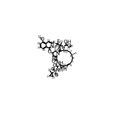 CC[C@@H]1C[C@@H](C)CCC=C[C@@H]2C[C@@]2(C(=O)NS(=O)(=O)C2(C)CC2)NC(=O)[C@@H]2C[C@@H](Oc3nccc4c(OC)cccc34)CN2C(=O)[C@H]1N(C(=O)O)C(C)(C)C(F)(F)F